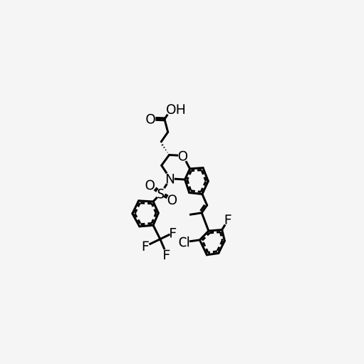 CC(=Cc1ccc2c(c1)N(S(=O)(=O)c1cccc(C(F)(F)F)c1)C[C@H](CCC(=O)O)O2)c1c(F)cccc1Cl